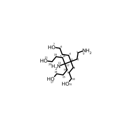 NCCC(CCCO)(CCCO)C(N)(CCCO)CCCO